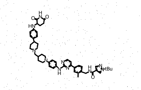 Cc1cc(-c2ccnc(Nc3ccc(N4CCC(CN5CCC(c6ccc(NC7CCC(=O)NC7=O)cc6)CC5)CC4)cc3)n2)ccc1CNC(=O)c1cnn(C(C)(C)C)c1